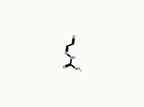 NC(=O)N/N=C\C=O